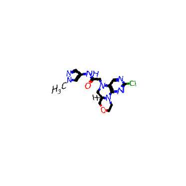 Cn1cc(NC(=O)CN2C[C@@H]3COCCN3c3nc(Cl)ncc32)cn1